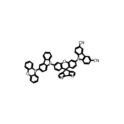 N#Cc1ccc2c(c1)c1cc(C#N)ccc1n2-c1ccc2c(c1)Oc1cc(-n3c4ccccc4c4cc(N5c6ccccc6Oc6ccccc65)ccc43)ccc1C21c2cccnc2-c2ncccc21